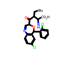 CC(C)(C)CC(C(=O)C1C=Nc2ccc(Cl)cc2C(c2ccccc2Cl)O1)C(N)C(=O)O